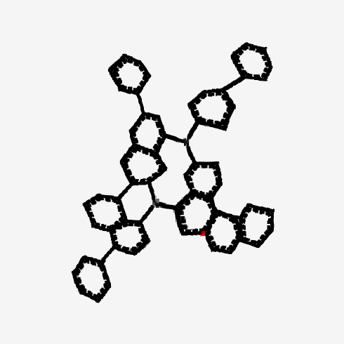 c1ccc(-c2ccc(N(c3ccc(-c4ccccc4)cc3)c3cc4c(N(c5ccc(-c6ccccc6)cc5)c5ccc(-c6ccccc6)cc5)cc(-c5ccccc5)cc4cc3-c3ccccc3)cc2)cc1